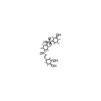 O=C(/C=C/c1ccc(O)c(O)c1)c1ccc(NS(=O)(=O)c2cccc(O)c2)cc1